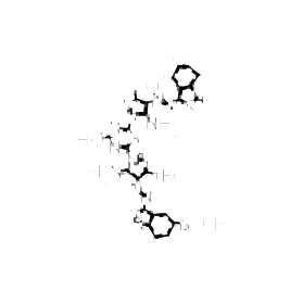 CC(C)(C)c1nn(-c2nc(O)nc(-n3nc(C(C)(C)C)c(N=Nc4snc5ccc(S(=O)(=O)O)cc45)c3N)n2)c(N)c1N=Nc1snc2ccccc12